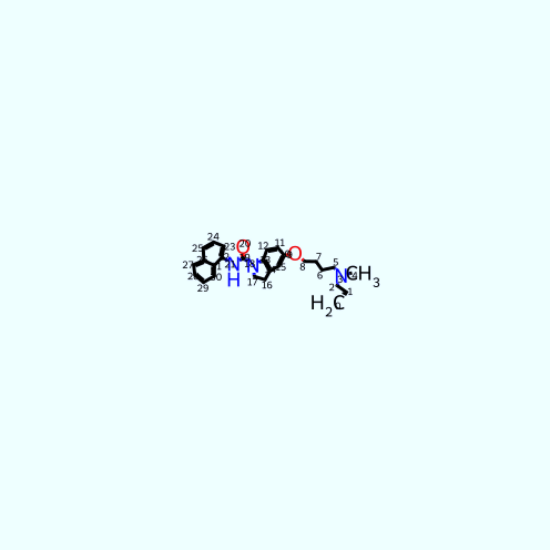 C=CCN(C)CCCCOc1ccc2c(c1)CCN2C(=O)Nc1cccc2ccccc12